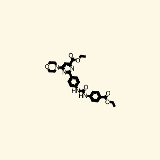 CCOC(=O)c1ccc(NC(=O)Nc2ccc(-c3nc(C(=O)OCC)cc(N4CCOCC4)n3)cc2)cc1